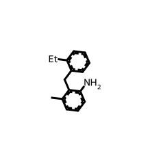 CCc1ccccc1Cc1c(C)cccc1N